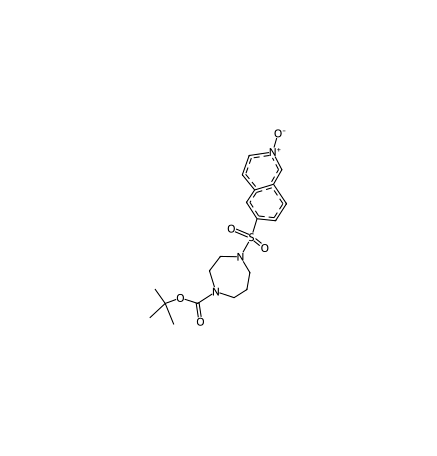 CC(C)(C)OC(=O)N1CCCN(S(=O)(=O)c2ccc3c[n+]([O-])ccc3c2)CC1